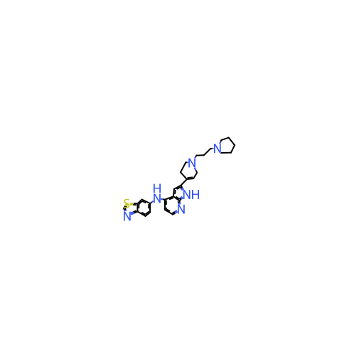 C1=C(c2cc3c(Nc4ccc5ncsc5c4)ccnc3[nH]2)CCN(CCCN2CCCCC2)C1